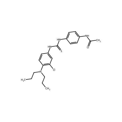 CCCN(CCC)c1ccc(NC(=S)Nc2ccc(NC(C)=O)cc2)cc1Cl